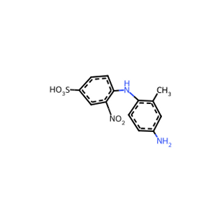 Cc1cc(N)ccc1Nc1ccc(S(=O)(=O)O)cc1[N+](=O)[O-]